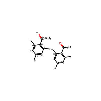 CCC(=O)c1c(C)cc(C)cc1C.CCCC(=O)c1c(C)cc(C)cc1C